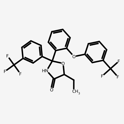 CCC1OC(c2cccc(C(F)(F)F)c2)(c2ccccc2Oc2cccc(C(F)(F)F)c2)NC1=O